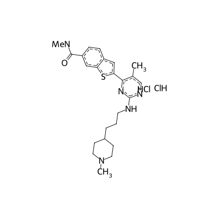 CNC(=O)c1ccc2cc(-c3nc(NCCCC4CCN(C)CC4)ncc3C)sc2c1.Cl.Cl